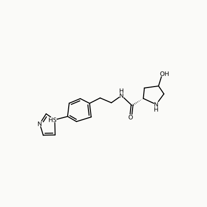 O=C(NCCc1ccc([SH]2C=CN=C2)cc1)[C@@H]1CC(O)CN1